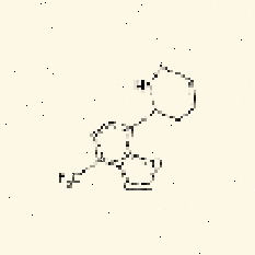 FC(F)(F)c1ccc(C2CC=CCN2)c2occc12